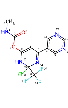 CNC(=O)OC1=CC(c2cncnc2)=NC(Cl)(C(F)(F)F)N1